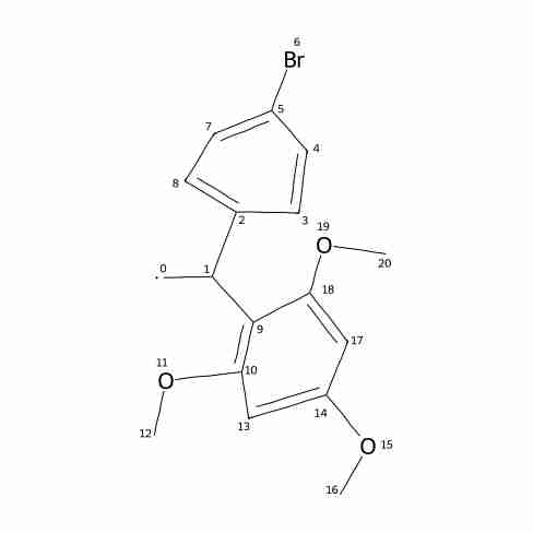 [CH2]C(c1ccc(Br)cc1)c1c(OC)cc(OC)cc1OC